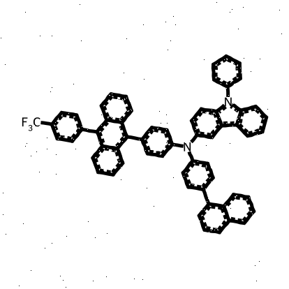 FC(F)(F)c1ccc(-c2c3ccccc3c(-c3ccc(N(c4ccc(-c5cccc6ccccc56)cc4)c4ccc5c(c4)c4ccccc4n5-c4ccccc4)cc3)c3ccccc23)cc1